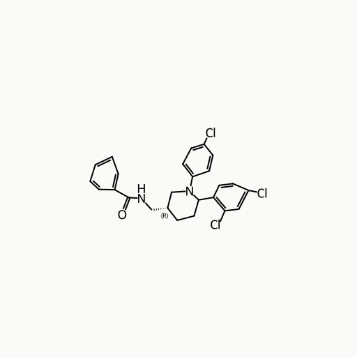 O=C(NC[C@H]1CCC(c2ccc(Cl)cc2Cl)N(c2ccc(Cl)cc2)C1)c1ccccc1